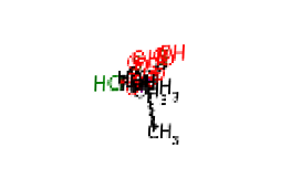 CCCCCCCCCCCC(C)P(C(C)OC(=O)Oc1ccc(S(=O)(=O)O)cc1)C(C)OC(=O)Oc1ccc(S(=O)(=O)O)cc1.Cl.[NaH].[NaH]